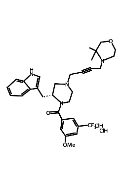 COc1cc(C(=O)N2CCN(CC#CCN3CCOCC3(C)C)C[C@H]2Cc2c[nH]c3ccccc23)cc(C(F)(F)F)c1.Cl.Cl